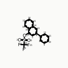 O=S(=O)(Oc1cc(-c2ccccc2)cc2ccccc12)C(F)(F)F